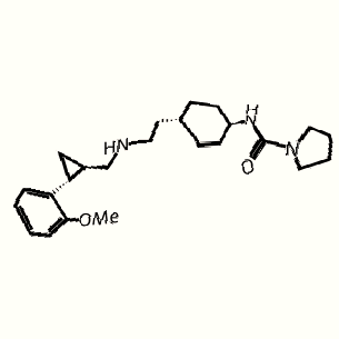 COc1ccccc1[C@@H]1C[C@H]1CNCC[C@H]1CC[C@H](NC(=O)N2CCCC2)CC1